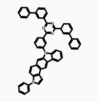 C1=CC(c2ccccc2)=CC(c2nc(-c3cccc(-c4ccccc4)c3)nc(-c3cccc(-n4c5ccccc5c5cc6c(ccc7c6ccn7-c6ccccc6)cc54)c3)n2)C1